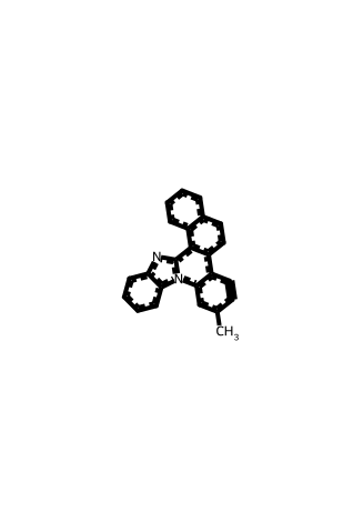 Cc1c#cc2c3ccc4ccccc4c3c3nc4ccccc4n3c2c1